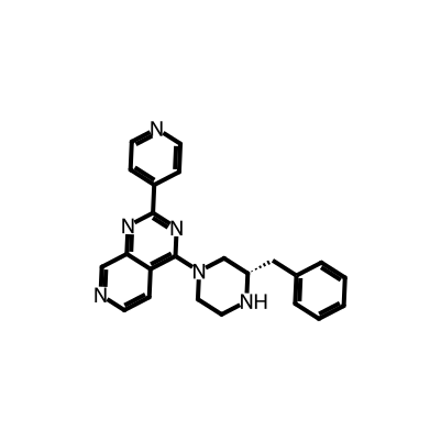 c1ccc(C[C@H]2CN(c3nc(-c4ccncc4)nc4cnccc34)CCN2)cc1